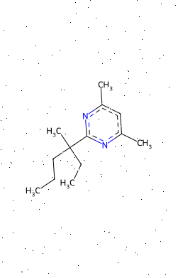 CCCC(C)(CC)c1nc(C)cc(C)n1